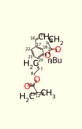 C=CC(=O)OCCCC.C=CCOC(=O)C(=C)C.C=Cc1ccccc1